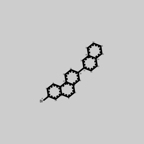 Brc1ccc2c(ccc3cc(-c4ccc5ccccc5c4)ccc32)c1